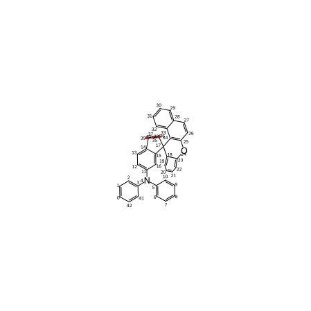 c1ccc(N(c2ccccc2)c2ccc3c(c2)C2(c4ccccc4Oc4ccc5ccccc5c42)c2ccccc2-3)cc1